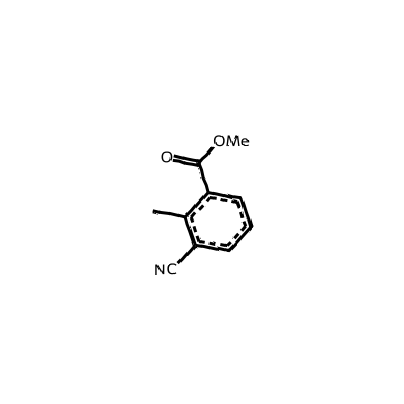 COC(=O)c1cccc(C#N)c1C